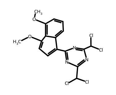 COc1cccc2c(-c3nc(C(Cl)Cl)nc(C(Cl)Cl)n3)ccc(OC)c12